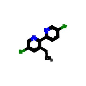 CCc1cc(Br)cnc1-c1ccc(Br)cn1